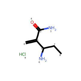 C=C(C(N)=O)C(N)CC.Cl